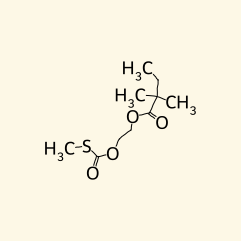 CCC(C)(C)C(=O)OCCOC(=O)SC